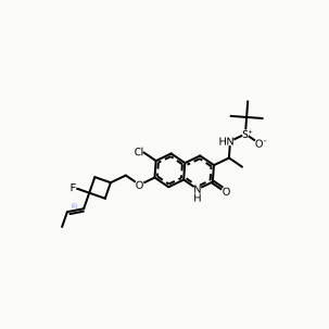 C/C=C/C1(F)CC(COc2cc3[nH]c(=O)c(C(C)N[S+]([O-])C(C)(C)C)cc3cc2Cl)C1